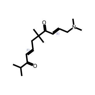 CC(C)C(=O)/C=C/CC(C)(C)C(=O)/C=C/CN(C)C